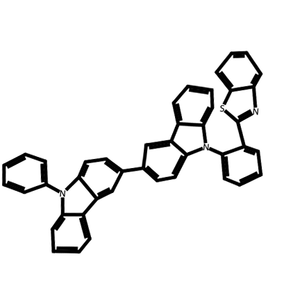 c1ccc(-n2c3ccccc3c3cc(-c4ccc5c(c4)c4ccccc4n5-c4ccccc4-c4nc5ccccc5s4)ccc32)cc1